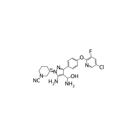 N#CN1CCC[C@@H](n2nc(-c3ccc(Oc4ncc(Cl)cc4F)cc3)c(C(N)O)c2N)C1